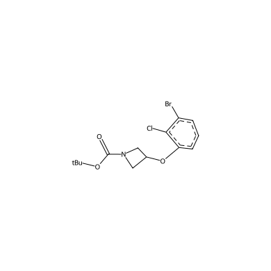 CC(C)(C)OC(=O)N1CC(Oc2cccc(Br)c2Cl)C1